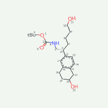 CC(C)(C)OC(=O)NC[C@H](CCCCO)c1ccc2c(c1)CCC(O)C2